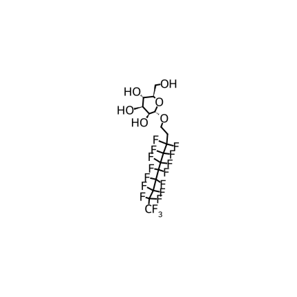 OC[C@H]1O[C@H](OCCC(F)(F)C(F)(F)C(F)(F)C(F)(F)C(F)(F)C(F)(F)C(F)(F)C(F)(F)F)[C@@H](O)[C@@H](O)[C@@H]1O